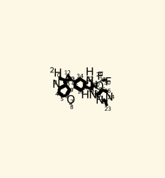 [2H]C1=Nc2ccc(OC)cc2[C@]12C[C@H]2c1ccc2c(Nc3nc(C)ncc3OC(F)F)n[nH]c2c1